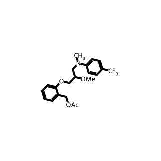 COC(COc1ccccc1COC(C)=O)CN(C)c1ccc(C(F)(F)F)cc1